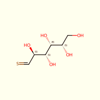 OC[C@H](O)[C@@H](O)[C@H](O)[C@H](O)C=S